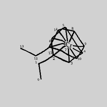 CC[C]12[CH]3[CH]4[CH]5[CH]1[Cr]45321678[CH]2[CH]1[CH]6[C]7(CC)[CH]28